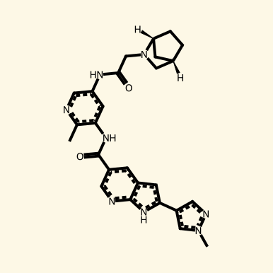 Cc1ncc(NC(=O)CN2C[C@H]3CC[C@@H]2C3)cc1NC(=O)c1cnc2[nH]c(-c3cnn(C)c3)cc2c1